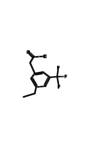 CCc1cc(CC(=O)Cl)cc(C(F)(F)F)c1